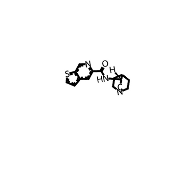 O=C(N[C@H]1CN2CCC1CC2)c1cc2ccsc2cn1